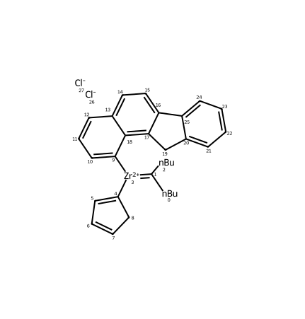 CCCC[C](CCCC)=[Zr+2]([C]1=CC=CC1)[c]1cccc2ccc3c(c12)Cc1ccccc1-3.[Cl-].[Cl-]